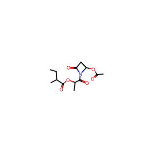 CCC(C)C(=O)OC(C)C(=O)N1C(=O)CC1OC(C)=O